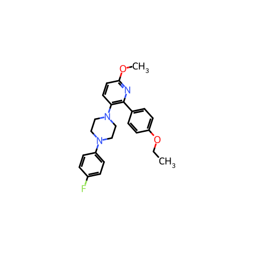 CCOc1ccc(-c2nc(OC)ccc2N2CCN(c3ccc(F)cc3)CC2)cc1